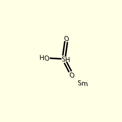 O=[SH](=O)O.[Sm]